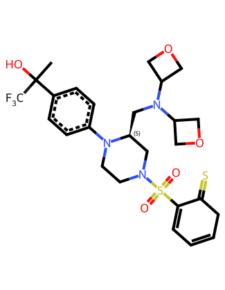 CC(O)(c1ccc(N2CCN(S(=O)(=O)C3=CC=CCC3=S)C[C@@H]2CN(C2COC2)C2COC2)cc1)C(F)(F)F